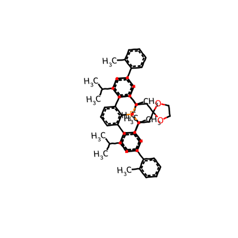 Cc1ccccc1-c1cc(C(C)C)c(-c2cccc(-c3c(C(C)C)cc(-c4ccccc4C)cc3C(C)C)c2P2C(c3ccccc3)CC3(CC2c2ccccc2)OCCO3)c(C(C)C)c1